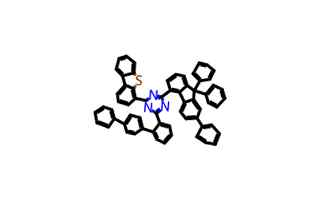 c1ccc(-c2ccc(-c3ccccc3-c3nc(-c4cccc5c4-c4ccc(-c6ccccc6)cc4C5(c4ccccc4)c4ccccc4)nc(-c4cccc5c4sc4ccccc45)n3)cc2)cc1